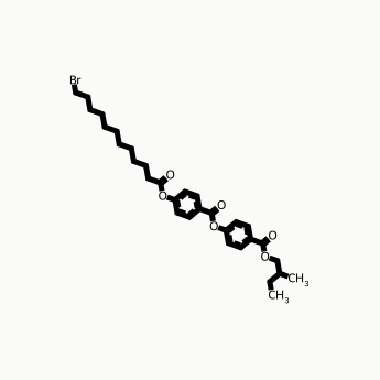 CCC(C)COC(=O)c1ccc(OC(=O)c2ccc(OC(=O)CCCCCCCCCCCBr)cc2)cc1